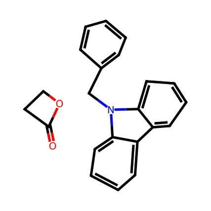 O=C1CCO1.c1ccc(Cn2c3ccccc3c3ccccc32)cc1